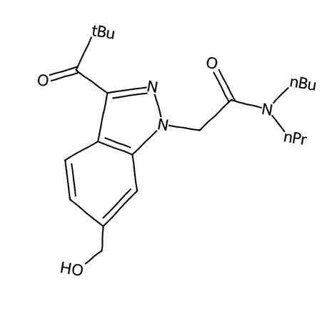 CCCCN(CCC)C(=O)Cn1nc(C(=O)C(C)(C)C)c2ccc(CO)cc21